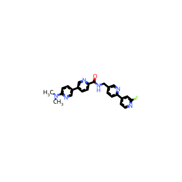 CN(C)c1ccc(-c2ccc(C(=O)NCc3ccc(-c4ccnc(F)c4)nc3)nc2)cn1